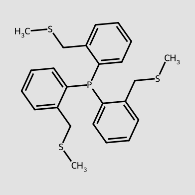 CSCc1ccccc1P(c1ccccc1CSC)c1ccccc1CSC